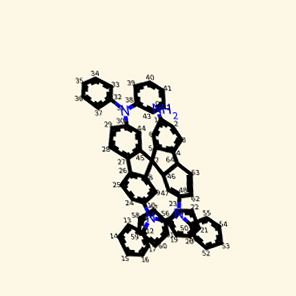 Nc1ccc2c(c1)C1(c3cc(N(c4ccccc4)c4ccccc4)ccc3-c3ccc(N(c4ccccc4)c4ccccc4)cc31)C1C=C(N(c3ccccc3)c3ccccc3)C=CC21